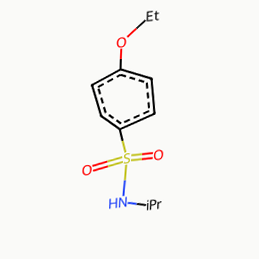 CCOc1ccc(S(=O)(=O)NC(C)C)cc1